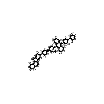 c1ccc(-c2ccc(-c3c4ccccc4c(-c4ccc(-c5ccc(-c6ccc7sc8c9ccccc9ccc8c7c6)cc5)cn4)c4ccccc34)cc2)cc1